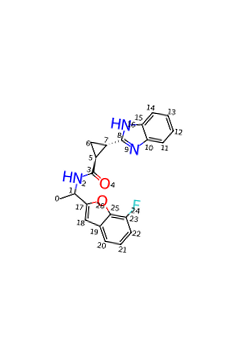 CC(NC(=O)[C@H]1C[C@@H]1c1nc2ccccc2[nH]1)c1cc2cccc(F)c2o1